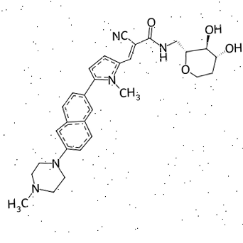 CN1CCN(c2ccc3cc(-c4ccc(/C=C(\C#N)C(=O)NC[C@H]5OCC[C@@H](O)[C@@H]5O)n4C)ccc3c2)CC1